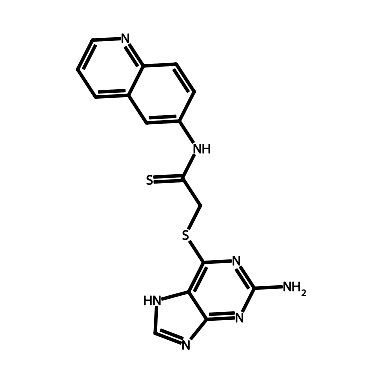 Nc1nc(SCC(=S)Nc2ccc3ncccc3c2)c2[nH]cnc2n1